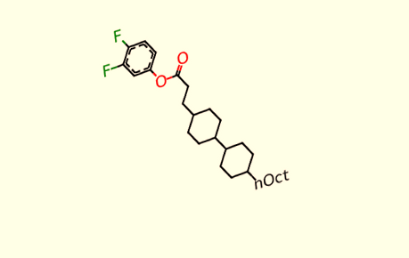 CCCCCCCCC1CCC(C2CCC(CCC(=O)Oc3ccc(F)c(F)c3)CC2)CC1